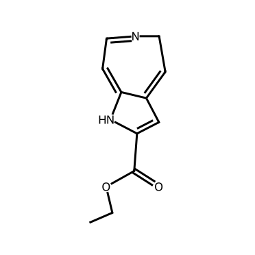 CCOC(=O)c1cc2c([nH]1)=CC=NCC=2